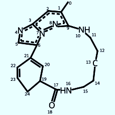 Cc1cc2ncc3n2nc1NCCCCCNC(=O)C1C=C3C=CC1